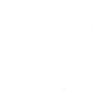 C=Cc1ccc(Oc2ccc(C=C)cc2-c2ccccc2)c(-c2ccccc2)c1